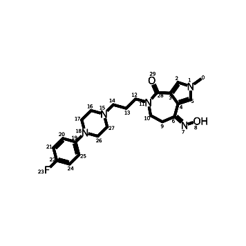 Cn1cc2c(c1)/C(=N\O)CCN(CCCN1CCN(c3ccc(F)cc3)CC1)C2=O